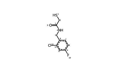 O=C(CS)NCc1ccc(F)cc1Cl